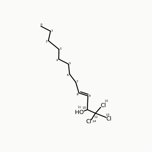 CCCCCCCCC=CC(O)C(Cl)(Cl)Cl